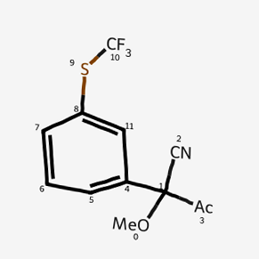 COC(C#N)(C(C)=O)c1cccc(SC(F)(F)F)c1